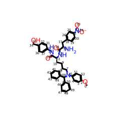 COc1ccc(N(CCCC[C@H](NC(=O)[C@@H](N)Cc2ccc([N+](=O)[O-])cc2)C(=O)Nc2ccc(CO)cc2)C(c2ccccc2)c2ccccc2)cc1